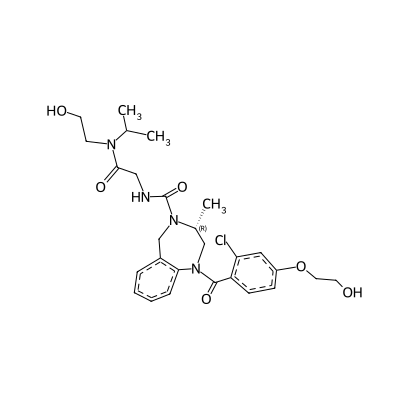 CC(C)N(CCO)C(=O)CNC(=O)N1Cc2ccccc2N(C(=O)c2ccc(OCCO)cc2Cl)C[C@H]1C